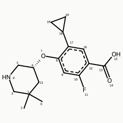 CC1(C)CNC[C@H](Oc2cc(F)c(C(=O)O)cc2C2CC2)C1